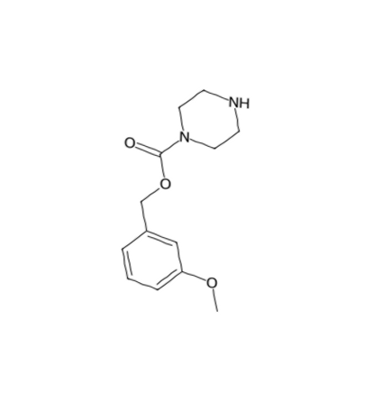 COc1cccc(COC(=O)N2CCNCC2)c1